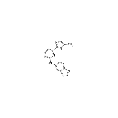 Cc1cnc(-c2ccnc(Nc3ccc4ncsc4c3)n2)s1